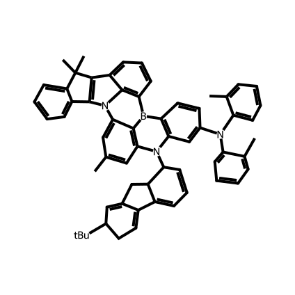 Cc1cc2c3c(c1)-n1c4c(c5cccc(c51)B3c1ccc(N(c3ccccc3C)c3ccccc3C)cc1N2C1C=CC=C2C3=CCC(C(C)(C)C)C=C3CC21)C(C)(C)c1ccccc1-4